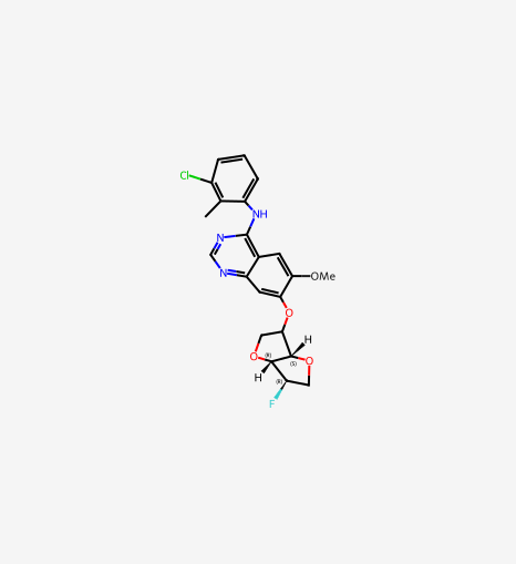 COc1cc2c(Nc3cccc(Cl)c3C)ncnc2cc1OC1CO[C@H]2[C@H](F)CO[C@@H]12